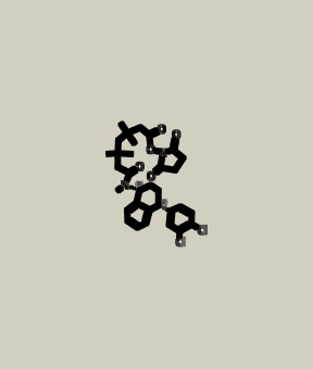 CN(C(=O)CC(C)(C)CC(C)(C)CC(=O)ON1C(=O)CCC1=O)[C@@H]1CC[C@H](c2ccc(Cl)c(Cl)c2)c2ccccc21